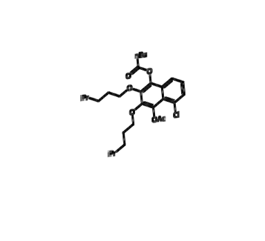 CCCCC(=O)Oc1c(OCCCC(C)C)c(OCCCC(C)C)c(OC(C)=O)c2c(Cl)cccc12